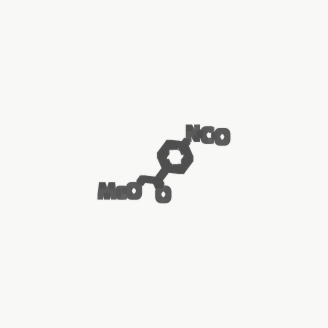 COCC(=O)c1ccc(N=C=O)cc1